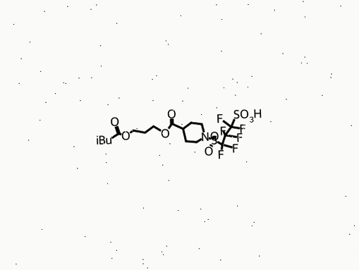 CCC(C)C(=O)OCCCOC(=O)C1CCN(S(=O)(=O)C(F)(F)C(F)(F)C(F)(F)S(=O)(=O)O)CC1